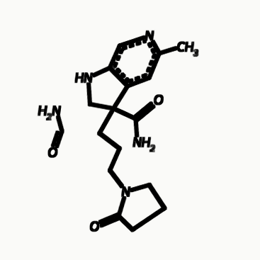 Cc1cc2c(cn1)NCC2(CCCN1CCCC1=O)C(N)=O.NC=O